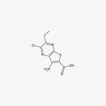 CCc1nc2sc(C(=O)O)c(N)c2nc1Cl